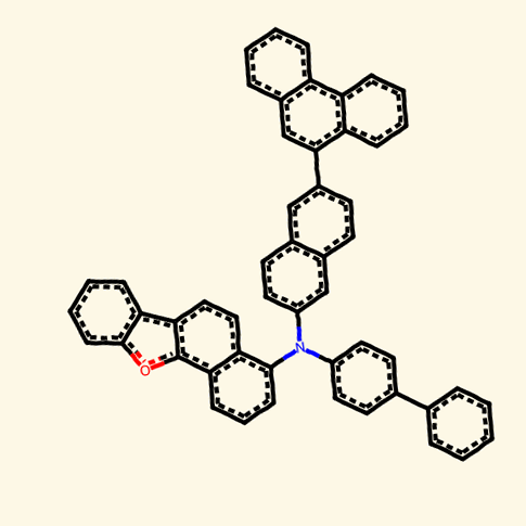 c1ccc(-c2ccc(N(c3ccc4cc(-c5cc6ccccc6c6ccccc56)ccc4c3)c3cccc4c3ccc3c5ccccc5oc43)cc2)cc1